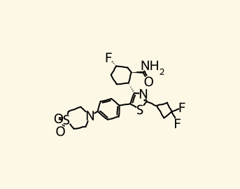 NC(=O)[C@@H]1C[C@@H](F)CC[C@H]1c1nc(C2CC(F)(F)C2)sc1-c1ccc(N2CCS(=O)(=O)CC2)cc1